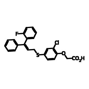 O=C(O)COc1ccc(SCC=C(c2ccccc2)c2ccccc2F)cc1Cl